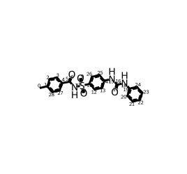 Cc1ccc(C(=O)NS(=O)(=O)c2ccc(NC(=O)Nc3ccccc3)cc2)cc1